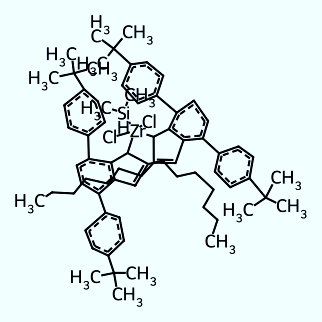 CCCCCCCC1=Cc2c(-c3ccc(C(C)(C)C)cc3)ccc(-c3ccc(C(C)(C)C)cc3)c2[CH]1[Zr]([Cl])([Cl])([CH]1C(CCCCCCC)=Cc2c(-c3ccc(C(C)(C)C)cc3)ccc(-c3ccc(C(C)(C)C)cc3)c21)[SiH](C)C